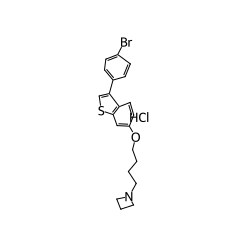 Brc1ccc(-c2csc3cc(OCCCCN4CCC4)ccc23)cc1.Cl